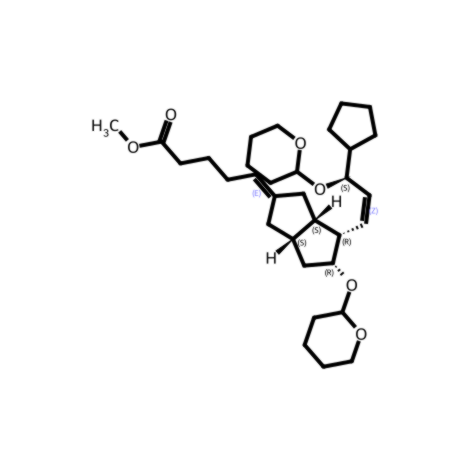 COC(=O)CCC/C=C1\C[C@H]2C[C@@H](OC3CCCCO3)[C@@H](/C=C\[C@@H](OC3CCCCO3)C3CCCC3)[C@H]2C1